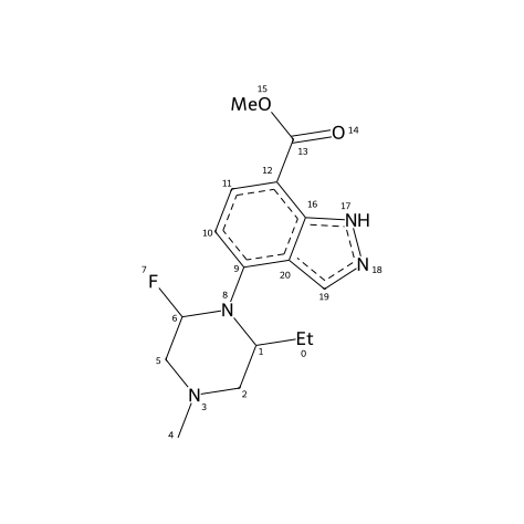 CCC1CN(C)CC(F)N1c1ccc(C(=O)OC)c2[nH]ncc12